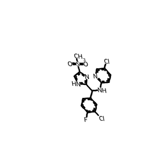 CS(=O)(=O)c1c[nH]c(C(Nc2ccc(Cl)cn2)c2ccc(F)c(Cl)c2)n1